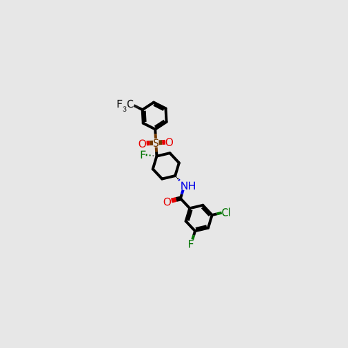 O=C(N[C@H]1CC[C@](F)(S(=O)(=O)c2cccc(C(F)(F)F)c2)CC1)c1cc(F)cc(Cl)c1